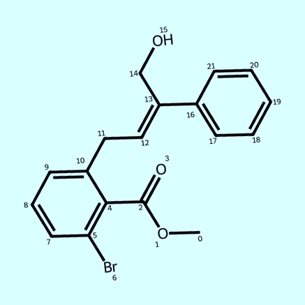 COC(=O)c1c(Br)cccc1CC=C(CO)c1ccccc1